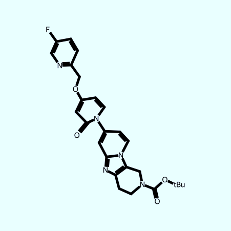 CC(C)(C)OC(=O)N1CCc2nc3cc(-n4ccc(OCc5ccc(F)cn5)cc4=O)ccn3c2C1